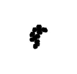 c1ccc(-c2c3ccccc3c(-c3cccc(-c4cccc(-c5c6ccccc6c(-c6ccc7oc8ccccc8c7c6)c6ccccc56)c4)c3)c3ccccc23)cc1